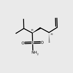 C=C[C@H](C)C[C@H](C(C)C)S(N)(=O)=O